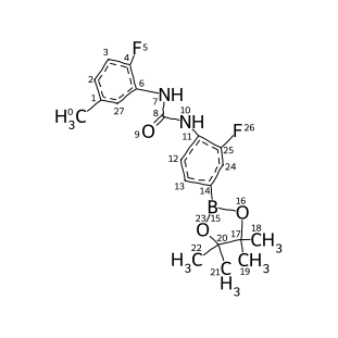 Cc1ccc(F)c(NC(=O)Nc2ccc(B3OC(C)(C)C(C)(C)O3)cc2F)c1